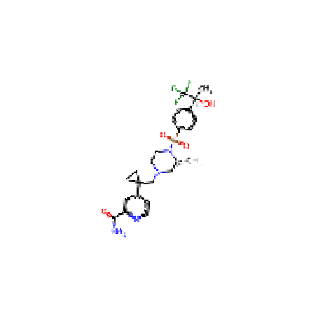 C[C@@H]1CN(CC2(c3ccnc(C(N)=O)c3)CC2)CCN1S(=O)(=O)c1ccc([C@@](C)(O)C(F)(F)F)cc1